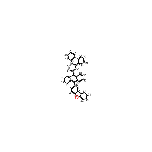 c1ccc(-c2ccc(-c3c4ccccc4c(-c4ccc5oc6ccccc6c5c4)c4ccccc34)cc2-c2ccccc2)cc1